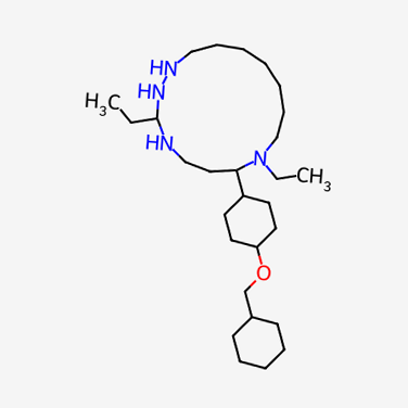 CCC1NCCC(C2CCC(OCC3CCCCC3)CC2)N(CC)CCCCCCCNN1